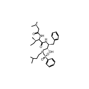 CC[C@@H](C)C(NC(=O)CN(C)C)C(=O)N[C@@H](Cc1ccccc1)[C@H](O)CN(CCC(C)C)S(=O)(=O)c1ccccc1